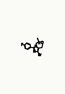 C[C@@H]1Cn2c(-c3ccc(F)cc3)nc(Br)c2CCO1